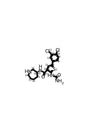 NC(=O)Nc1sc(-c2ccc(Cl)c(Cl)c2)cc1C(=O)N[C@H]1CCCCNC1